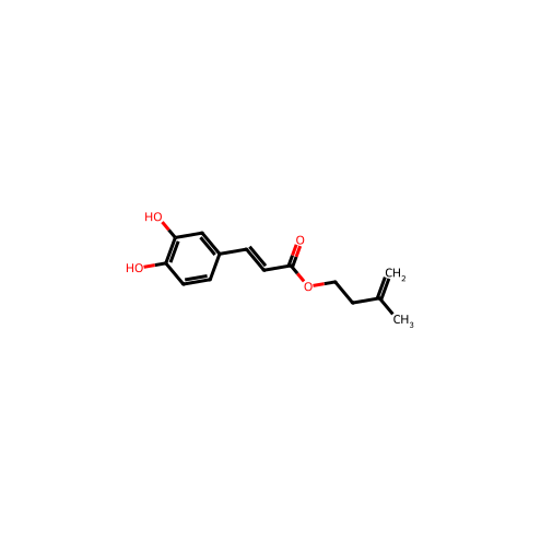 C=C(C)CCOC(=O)/C=C/c1ccc(O)c(O)c1